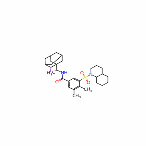 Cc1cc(C(=O)NC(C)C23CC4CC(CC(C4)C2I)C3)cc(S(=O)(=O)N2CCCC3CCCCC32)c1C